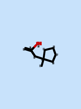 C=C(O)CC1(C)CCCC1